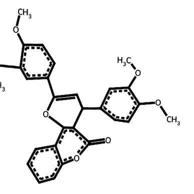 COc1ccc(C2=CC(c3ccc(OC)c(OC)c3)c3c(c4ccccc4oc3=O)O2)cc1OC